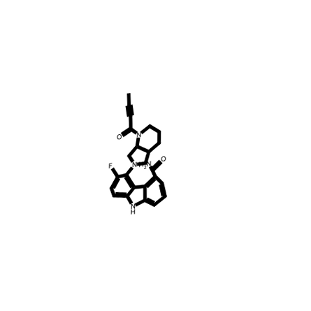 CC#CC(=O)N1CCCC2CN(c3c(F)ccc4[nH]c5cccc(C(N)=O)c5c34)CC21